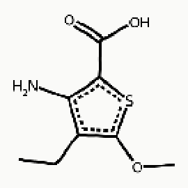 CCc1c(OC)sc(C(=O)O)c1N